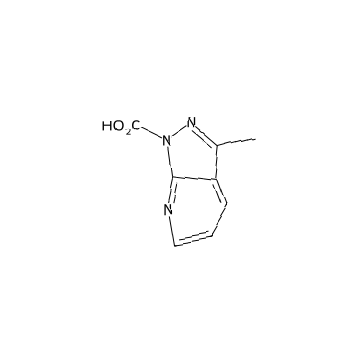 Cc1nn(C(=O)O)c2ncccc12